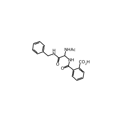 CC(=O)NC(NC(=O)c1ccccc1C(=O)O)C(=O)NCc1ccccc1